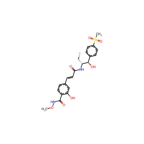 CONC(=O)c1ccc(/C=C/C(=O)N[C@H](CF)[C@H](O)c2ccc(S(C)(=O)=O)cc2)cc1O